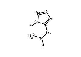 CC(N)Oc1ccnn1C